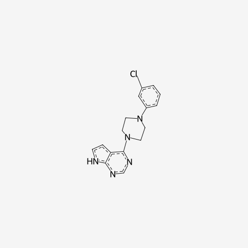 Clc1cccc(N2CCN(c3ncnc4[nH]ccc34)CC2)c1